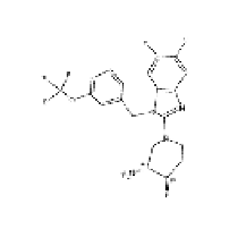 N[C@@H]1CN(c2nc3cc(F)c(F)cc3n2Cc2cccc(OC(F)(F)F)c2)CC[C@H]1F